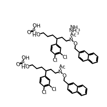 CC(=O)N(CCC(CCCO[PH](=O)O)c1ccc(Cl)c(Cl)c1)OCc1ccc2ccccc2c1.CC(=O)N(CCC(CCCO[PH](=O)O)c1ccc(Cl)c(Cl)c1)OCc1ccc2ccccc2c1.N.N